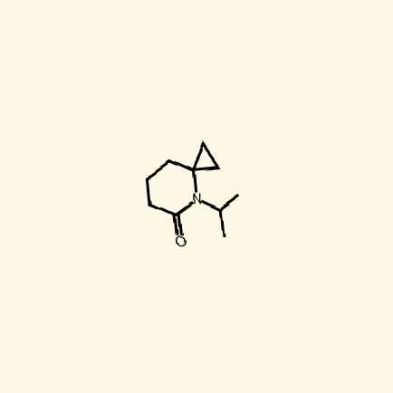 CC(C)N1C(=O)CCCC12CC2